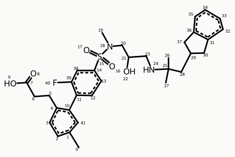 Cc1ccc(CCC(=O)O)c(-c2ccc(S(=O)(=O)N(C)CC(O)CNC(C)(C)CC3Cc4ccccc4C3)cc2F)c1